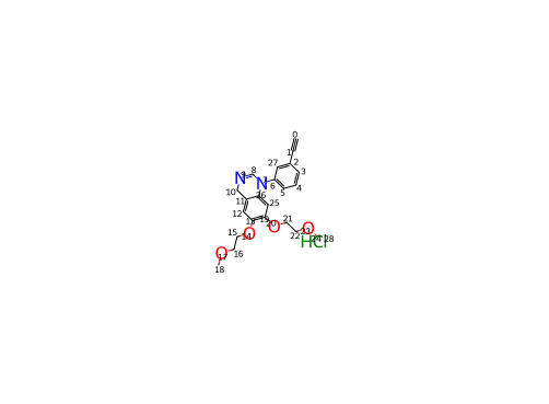 C#Cc1cccc(N2C=NCc3cc(OCCOC)c(OCCOC)cc32)c1.Cl